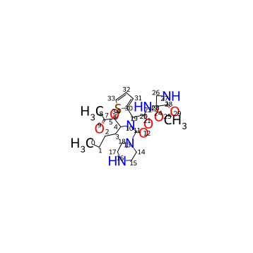 CCCCC(C(=O)C(C)=O)N(C(=O)N1CCNCC1)C(C(=O)N[C@]1(OC)CNC1=O)c1cccs1